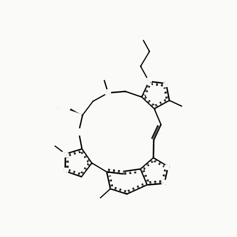 Cc1nn(CCO)c2c1/C=C/c1n[nH]c3cc(F)c(cc13)-c1cnn(C)c1O[C@@H](C)CN(C)C2